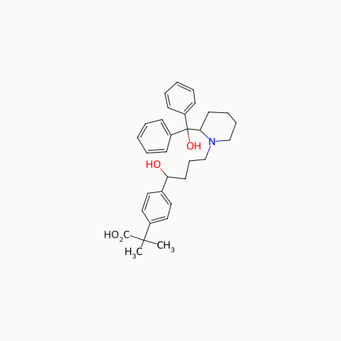 CC(C)(C(=O)O)c1ccc(C(O)CCCN2CCCCC2C(O)(c2ccccc2)c2ccccc2)cc1